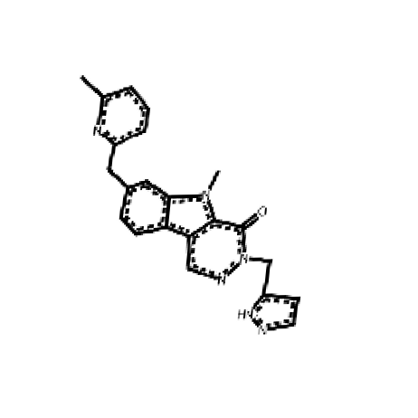 Cc1cccc(Cc2ccc3c4cnn(Cc5ccn[nH]5)c(=O)c4n(C)c3c2)n1